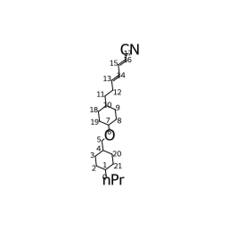 CCCC1CCC(COC2CCC(CCC=CC=CC#N)CC2)CC1